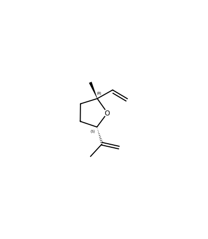 C=C[C@@]1(C)CC[C@@H](C(=C)C)O1